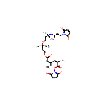 CC(CC(=O)OCCC(C)(C)OCCC(C)(C)NC(=O)CCN1C(=O)C=CC1=O)CC(C)C(=O)ON1C(=O)CCC1=O